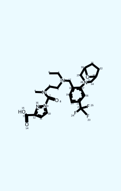 CCN(CCN(C)C(=O)n1ccc(C(=O)O)n1)Cc1ccc(C(F)(F)F)cc1N1CC2CCC(C1)O2